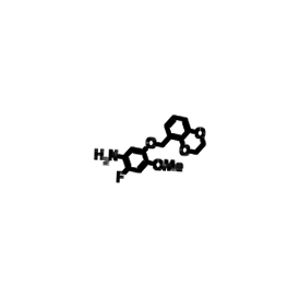 COc1cc(F)c(N)cc1OCc1cccc2c1OCCO2